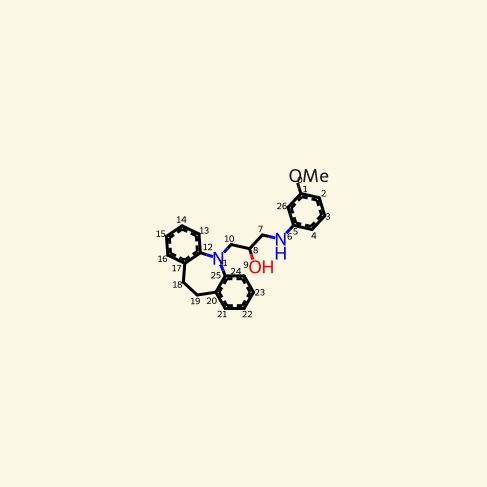 COc1cccc(NCC(O)CN2c3ccccc3CCc3ccccc32)c1